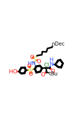 CCCCCCCCCCCCCCCCS(=O)(=O)Nc1cc(C(Cl)(C(=O)Nc2ccccc2)C(=O)C(C)(C)C)ccc1S(=O)(=O)c1ccc(O)cc1